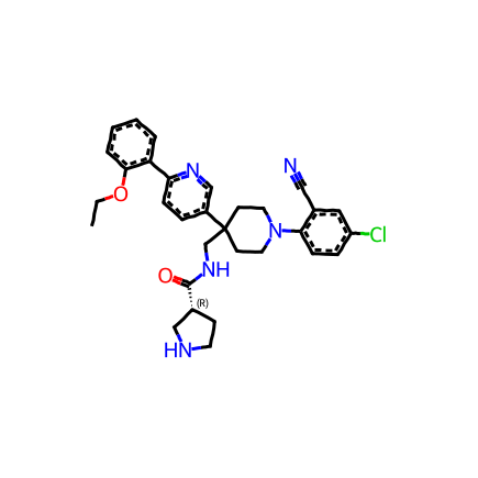 CCOc1ccccc1-c1ccc(C2(CNC(=O)[C@@H]3CCNC3)CCN(c3ccc(Cl)cc3C#N)CC2)cn1